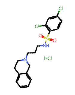 Cl.O=S(=O)(NCCCN1CCc2ccccc2C1)c1ccc(Cl)cc1Cl